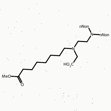 CCCCCCCCCN(CCCCCCCCC)CCN(CCCCCCCC(=O)OC)CC(=O)O